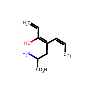 C=C/C(O)=C(\C=C/C)CC(N)C(=O)O